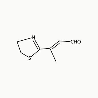 CC(=CC=O)C1=NCCS1